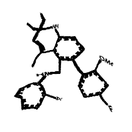 COc1cc(F)ccc1-c1ccc2c(c1CNc1ccccc1C(C)C)C(C)=CC(C)(C)N2